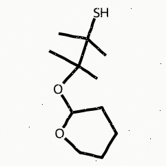 CC(C)(S)C(C)(C)OC1CCCCO1